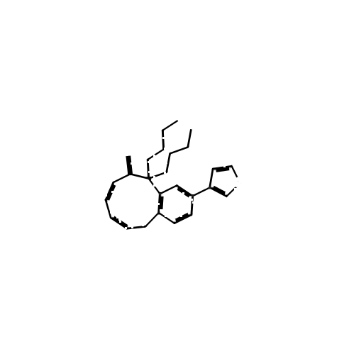 C=C1/C=C\C=C/Cc2ccc(-c3ccsc3)cc2C1(CCCC)CCCC